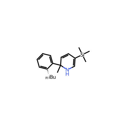 CC[C@@H](C)c1ccccc1C1(C)C=CC([Si](C)(C)C)=CN1